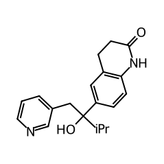 CC(C)C(O)(Cc1cccnc1)c1ccc2c(c1)CCC(=O)N2